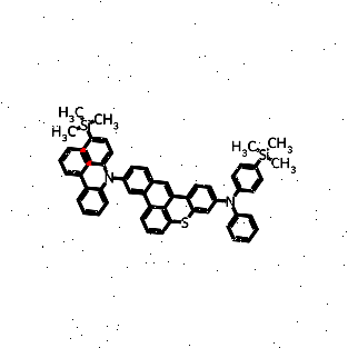 C[Si](C)(C)c1ccc(N(c2ccccc2)c2ccc3c(c2)Sc2cccc4c2c-3cc2ccc(N(c3ccc([Si](C)(C)C)cc3)c3ccccc3-c3ccccc3)cc24)cc1